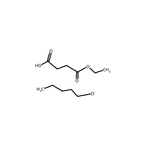 CCCCCCl.CCOC(=O)CCC(=O)O